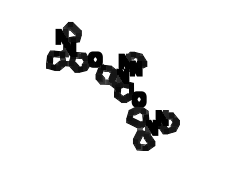 c1ccc(-n2c3ccccc3c3ccc(Oc4ccc5c6ccc(Oc7ccc8c9ccccc9n(-c9ccccn9)c8c7)cc6n(-c6ncccn6)c5c4)cc32)nc1